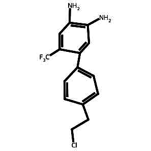 Nc1cc(-c2ccc(CCCl)cc2)c(C(F)(F)F)cc1N